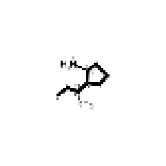 CC[C@@H](N)C1CCC[C@@H]1N